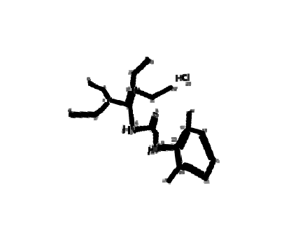 CCN(CC)C(NC(=O)Nc1c(C)cccc1C)=[N+](CC)CC.Cl